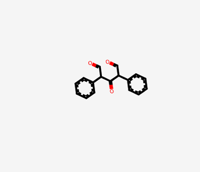 O=CC(C(=O)C(C=O)c1ccccc1)c1ccccc1